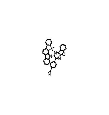 CC1(C)c2ccccc2-c2ccc3c4ccccc4n(-c4nc5c(nc4-c4ccc(C#N)cc4)oc4ccccc45)c3c21